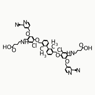 Cc1c(COc2cc(OCc3ccnc(C#N)c3)c(CNCCCC(=O)O)cc2Cl)cccc1-c1cccc(COc2cc(OCc3ccnc(C#N)c3)c(CNCCCC(=O)O)cc2Cl)c1C